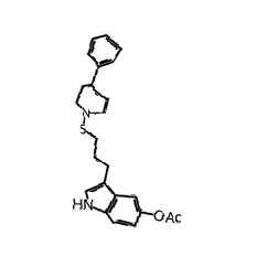 CC(=O)Oc1ccc2[nH]cc(CCCSN3CCC(c4ccccc4)CC3)c2c1